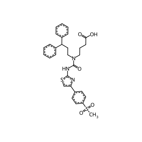 CS(=O)(=O)c1ccc(-c2csc(NC(=O)N(CCCC(=O)O)CCC(c3ccccc3)c3ccccc3)n2)cc1